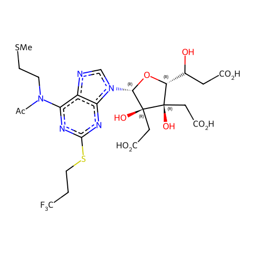 CSCCN(C(C)=O)c1nc(SCCC(F)(F)F)nc2c1ncn2[C@@H]1O[C@H](C(O)CC(=O)O)[C@](O)(CC(=O)O)[C@]1(O)CC(=O)O